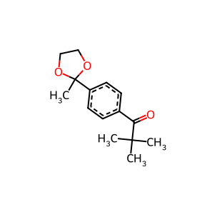 CC(C)(C)C(=O)c1ccc(C2(C)OCCO2)cc1